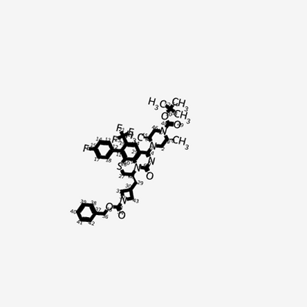 C[C@@H]1CN(c2nc(=O)n3c4c(c(-c5ccc(F)cc5)c(C(F)(F)F)cc24)SC[C@@H]3CC2CN(C(=O)OCc3ccccc3)C2)[C@@H](C)CN1C(=O)OC(C)(C)C